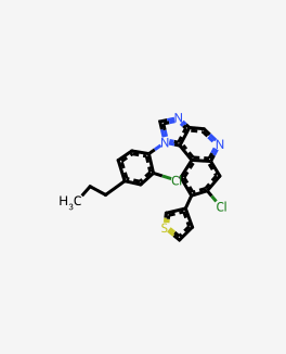 CCCc1ccc(-n2cnc3cnc4cc(Cl)c(-c5ccsc5)cc4c32)c(Cl)c1